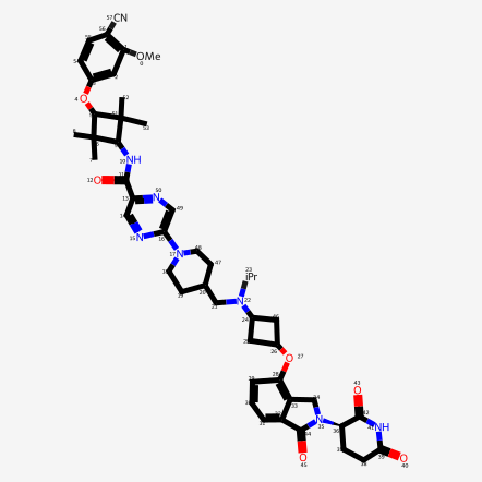 COc1cc(OC2C(C)(C)C(NC(=O)c3cnc(N4CCC(CN(C(C)C)C5CC(Oc6cccc7c6CN([C@@H]6CCC(=O)NC6=O)C7=O)C5)CC4)cn3)C2(C)C)ccc1C#N